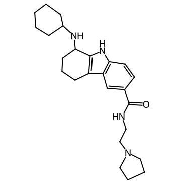 O=C(NCCN1CCCC1)c1ccc2[nH]c3c(c2c1)CCCC3NC1CCCCC1